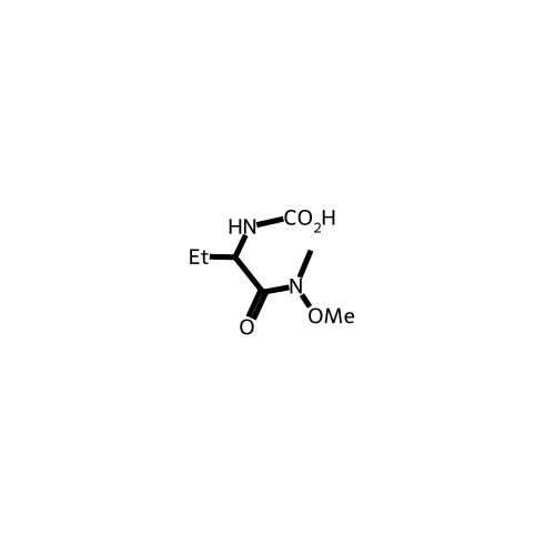 CCC(NC(=O)O)C(=O)N(C)OC